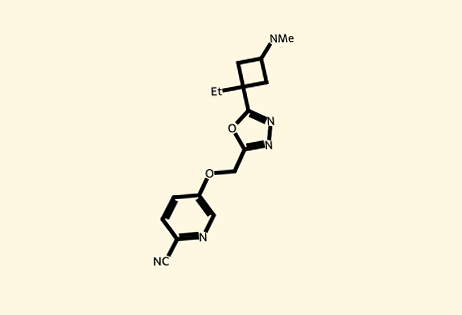 CCC1(c2nnc(COc3ccc(C#N)nc3)o2)CC(NC)C1